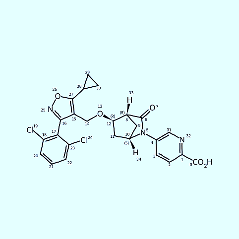 O=C(O)c1ccc(N2C(=O)[C@@H]3C[C@H]2C[C@H]3OCc2c(-c3c(Cl)cccc3Cl)noc2C2CC2)cn1